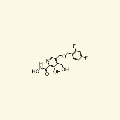 O=C(NO)c1ncc(COCc2ccc(F)cc2F)c(CO)c1O